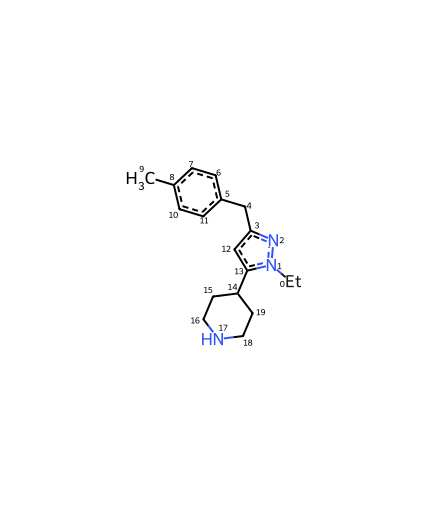 CCn1nc(Cc2ccc(C)cc2)cc1C1CCNCC1